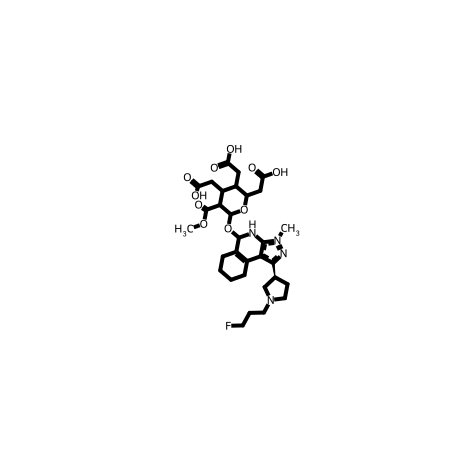 COC(=O)C1C(OC2Nc3c(c([C@H]4CCN(CCCF)C4)nn3C)C3=C2CCCC3)OC(CC(=O)O)C(CC(=O)O)C1CC(=O)O